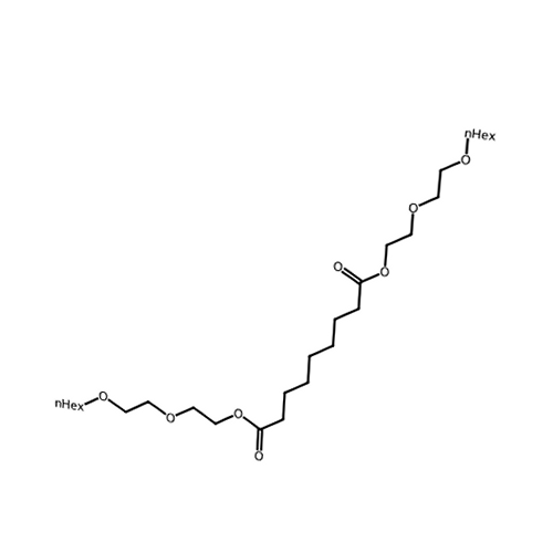 CCCCCCOCCOCCOC(=O)CCCCCCCC(=O)OCCOCCOCCCCCC